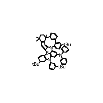 CC(C)(C)c1cccc(N2c3cc(C(C)(C)C)ccc3B3c4cc5c6cc4N(c4ccc(C(C)(C)C)cc4-c4cccc(c4)C6(C)CCC5(C)C)c4cc(N(c5ccccc5)c5ccccc5)cc2c43)c1